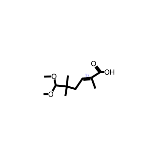 COC(OC)C(C)(C)C/C=C(\C)C(=O)O